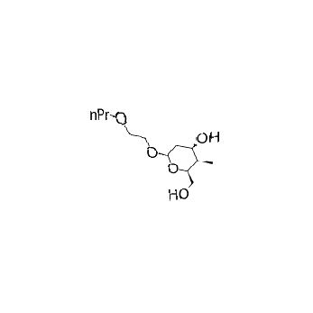 CCCOCCO[C@H]1C[C@@H](O)[C@@H](C)[C@@H](CO)O1